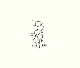 C[C@@H]1CC[C@]2(C)CC[C@]3(C)C(=CC(=O)[C@@H]4[C@@]5(C)CC[C@@H](O)[C@](C)(C(=O)O)[C@@H]5CC[C@]43C)C2[C@H]1C